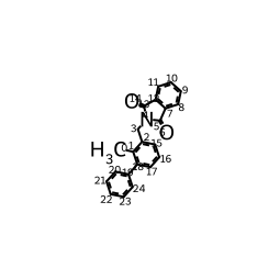 Cc1c(CN2C(=O)c3ccccc3C2=O)cccc1-c1ccccc1